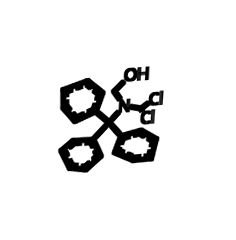 OCN(C(Cl)Cl)C(c1ccccc1)(c1ccccc1)c1ccccc1